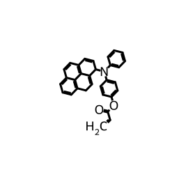 C=CC(=O)Oc1ccc(N(c2ccccc2)C2C=Cc3ccc4cccc5c4c3C2=CC5)cc1